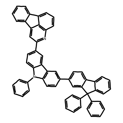 c1ccc(-n2c3ccc(-c4ccc5c(c4)C(c4ccccc4)(c4ccccc4)c4ccccc4-5)cc3c3cc(-c4cc5c6c(cccc6n4)-c4ccccc4-5)ccc32)cc1